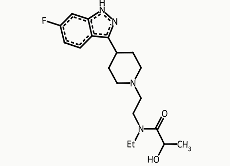 CCN(CCN1CCC(c2n[nH]c3cc(F)ccc23)CC1)C(=O)C(C)O